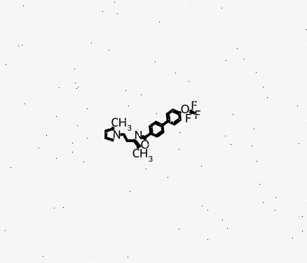 Cc1oc(-c2ccc(-c3ccc(OC(F)(F)F)cc3)cc2)nc1CCN1CCCC1C